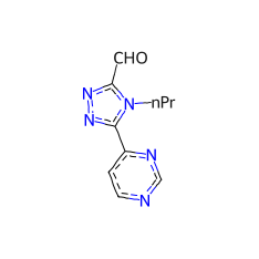 CCCn1c(C=O)nnc1-c1ccncn1